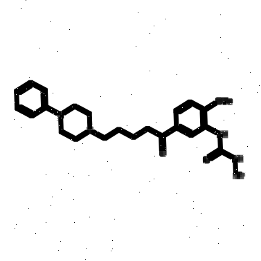 CCCNC(=O)Nc1cc(C(=O)CCCCN2CCN(c3ccccc3)CC2)ccc1OC